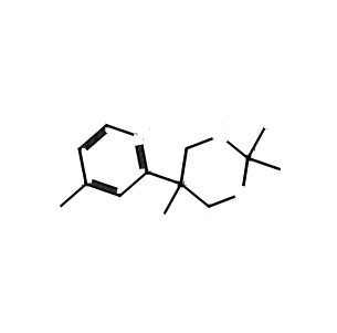 Cc1ccnc(C2(C)COC(C)(C)OC2)c1